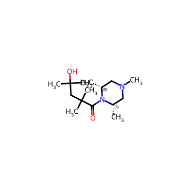 C[C@@H]1CN(C)C[C@H](C)N1C(=O)C(C)(C)CC(C)(C)O